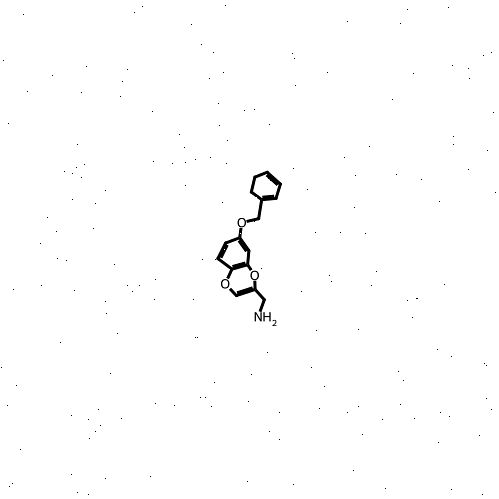 NCC1=COc2ccc(OCC3=CC=CCC3)cc2O1